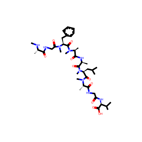 CN[C@@H](C)C(=O)NCC(=O)N(C)[C@@H](Cc1ccccc1)C(=O)N(C)[C@@H](C)C(=O)N[C@@H](C)C(=O)N(C)[C@@H](CC(C)C)C(=O)N(C)[C@@H](C)C(=O)NCC(=O)N[C@H](C(=O)O)C(C)C